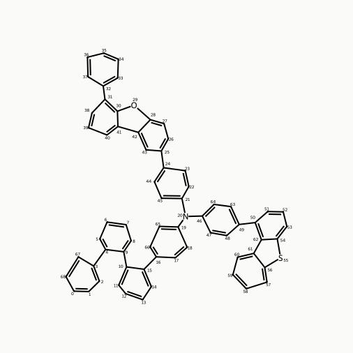 c1ccc(-c2ccccc2-c2ccccc2-c2ccc(N(c3ccc(-c4ccc5oc6c(-c7ccccc7)cccc6c5c4)cc3)c3ccc(-c4cccc5sc6ccccc6c45)cc3)cc2)cc1